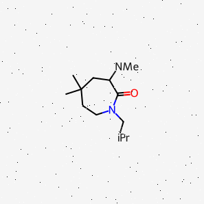 CNC1CC(C)(C)CCN(CC(C)C)C1=O